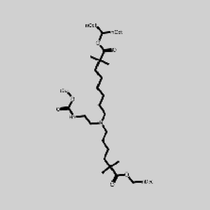 CCCCCCCCCCCOC(=O)C(C)(C)CCCCN(CCCCCCC(C)(C)C(=O)OC(CCCCCCCC)CCCCCCCC)CCNC(=O)OC(C)(C)C